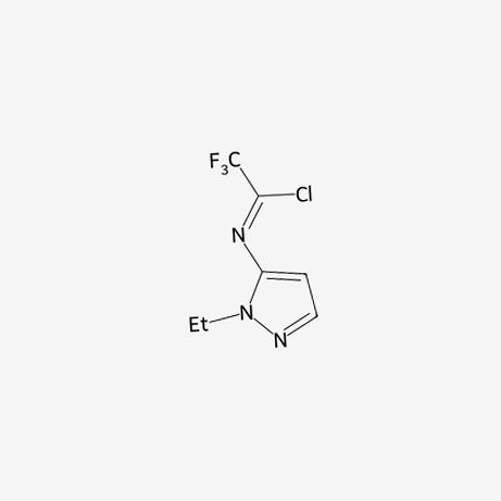 CCn1nccc1N=C(Cl)C(F)(F)F